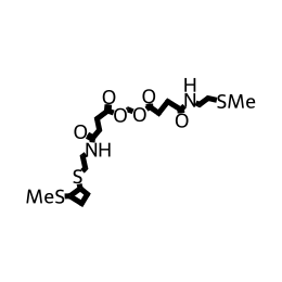 CSCCNC(=O)CCC(=O)OCOC(=O)CCC(=O)NCCSC1CCC1SC